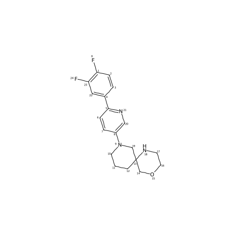 Fc1ccc(-c2ccc(N3CCCC4(COCCN4)C3)cn2)cc1F